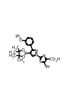 CC(C)Oc1cccc(-c2nn(-c3nc(C(=O)O)c(C(C)C)s3)cc2B2OC(C)(C)C(C)(C)O2)c1